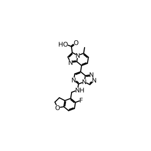 Cc1ccc(-c2cnc(NCc3c(F)ccc4c3CCO4)n3cnnc23)c2ncc(C(=O)O)n12